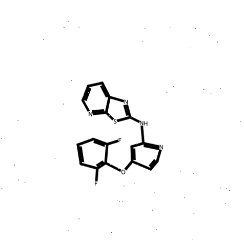 Fc1cccc(F)c1Oc1ccnc(Nc2nc3cccnc3s2)c1